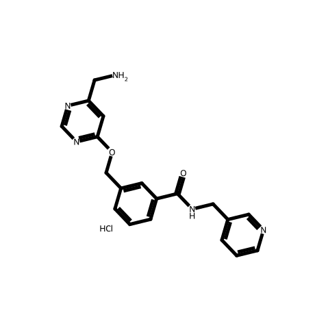 Cl.NCc1cc(OCc2cccc(C(=O)NCc3cccnc3)c2)ncn1